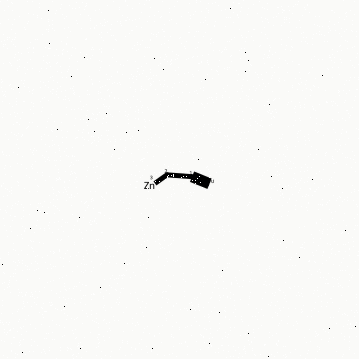 C#C[CH2][Zn]